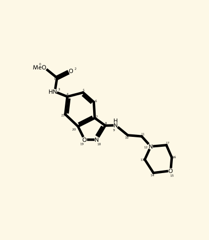 COC(=O)Nc1ccc2c(NCCN3CCOCC3)noc2c1